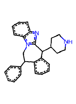 c1ccc(C2Cn3c(nc4ccccc43)C(C3CCNCC3)c3ccccc32)cc1